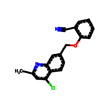 Cc1cc(Cl)c2ccc(COc3ccccc3C#N)cc2n1